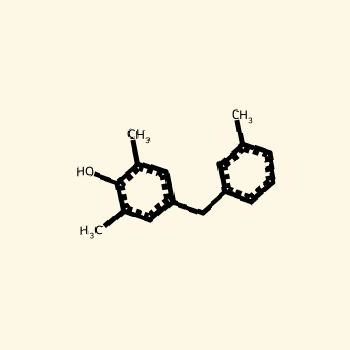 Cc1cc[c]c(Cc2cc(C)c(O)c(C)c2)c1